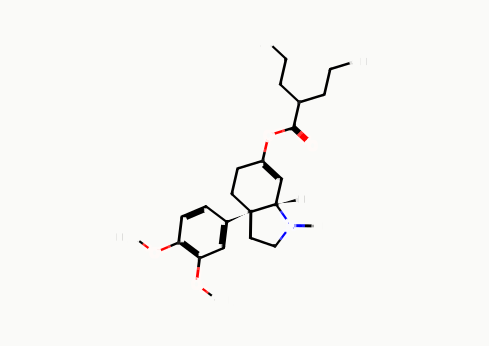 CCCC(CCC)C(=O)OC1=C[C@@H]2N(C)CC[C@]2(c2ccc(OC)c(OC)c2)CC1